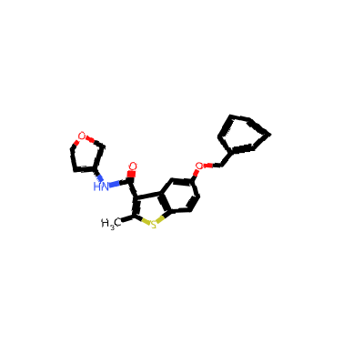 Cc1sc2ccc(OCc3ccccc3)cc2c1C(=O)NC1CCOC1